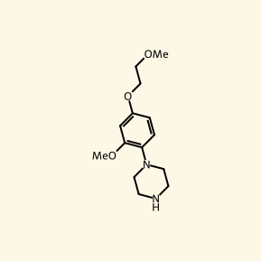 COCCOc1ccc(N2CCNCC2)c(OC)c1